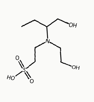 CCC(CO)N(CCO)CCS(=O)(=O)O